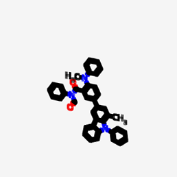 Cc1cc(-c2ccc(N(C)c3ccccc3)c(C(=O)N(C=O)c3ccccc3)c2)cc2c3ccccc3n(-c3ccccc3)c12